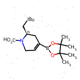 CC(C)(C)C[C@H]1CC(B2OC(C)(C)C(C)(C)O2)=CCN1C(=O)O